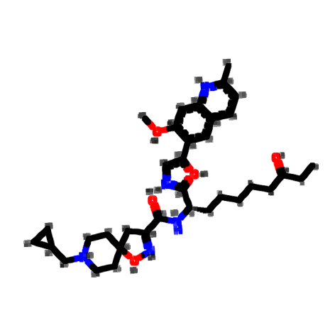 CCC(=O)CCCCC[C@H](NC(=O)C1=NOC2(CCN(CC3CC3)CC2)C1)c1ncc(-c2cc3ccc(C)nc3cc2OC)o1